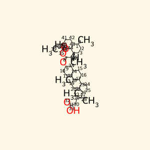 C[C@@H]1CC[C@H]2[C@@H](C)C(O[C@@H]3CC[C@@]4(C)C(CCC5C4CC[C@@]4(C)C5CC[C@@H]4[C@H](C)CCC(=O)O)C3)OC3O[C@H](C)[C@H]4CCC1C32O4